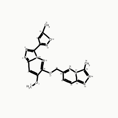 COc1cc2nnc(-c3cc(C)on3)n2nc1OCc1ccc2nnc(C)n2n1